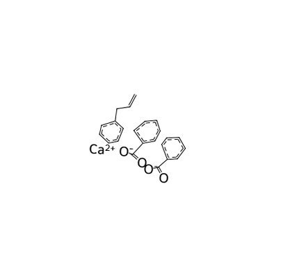 C=CCc1ccccc1.O=C([O-])c1ccccc1.O=C([O-])c1ccccc1.[Ca+2]